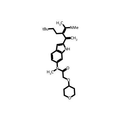 C=C(/C(CCC(C)(C)C)=C(/C)NC)c1cc2ccc(N(C)C(=O)COC3CCOCC3)cc2[nH]1